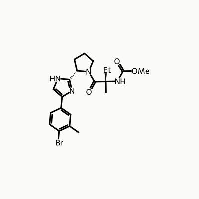 CC[C@](C)(NC(=O)OC)C(=O)N1CCC[C@H]1c1nc(-c2ccc(Br)c(C)c2)c[nH]1